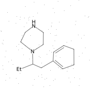 CCC(CC1=CCCC=C1)N1CCNCC1